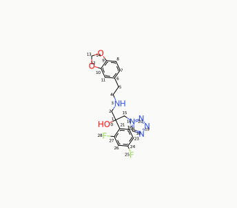 OC(CNCCc1ccc2c(c1)OCO2)(Cn1cnnn1)c1ccc(F)cc1F